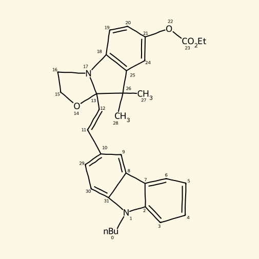 CCCCn1c2ccccc2c2cc(C=CC34OCCN3c3ccc(OC(=O)OCC)cc3C4(C)C)ccc21